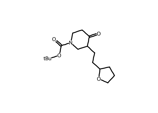 CC(C)(C)OC(=O)N1CCC(=O)C(CCC2CCCO2)C1